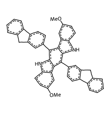 COc1ccc2[nH]c3c(-c4ccc5c(c4)Cc4ccccc4-5)c4c([nH]c5ccc(OC)cc54)c(-c4ccc5c(c4)Cc4ccccc4-5)c3c2c1